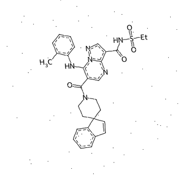 CCS(=O)(=O)NC(=O)c1cnn2c(Nc3ccccc3C)c(C(=O)N3CCC4(C=Cc5ccccc54)CC3)cnc12